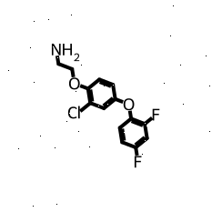 NCCOc1ccc(Oc2ccc(F)cc2F)cc1Cl